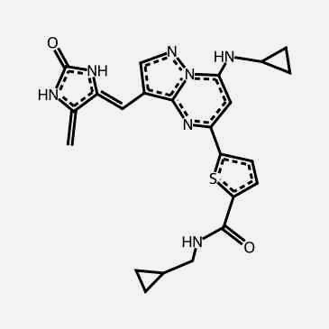 C=c1[nH]c(=O)[nH]/c1=C\c1cnn2c(NC3CC3)cc(-c3ccc(C(=O)NCC4CC4)s3)nc12